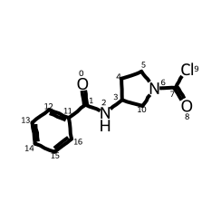 O=C(NC1CCN(C(=O)Cl)C1)c1ccccc1